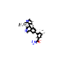 Cc1ccc(C(N)=O)cc1-c1ccc2c(-c3cccnc3C)cncc2c1